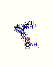 Cc1cc(Nc2nc(N3CCN(C(=O)Cc4cccc(N)c4)CC3)nn3cccc23)n[nH]1